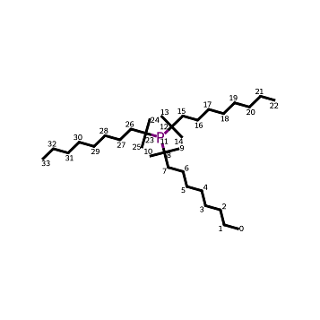 CCCCCCCCC(C)(C)P(C(C)(C)CCCCCCCC)C(C)(C)CCCCCCCC